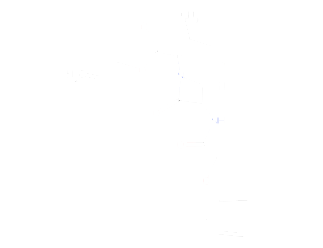 C=CCOC(=O)C1=C(C)CS[C@H]2C(NC(=O)COc3ccccc3)C(=O)N12